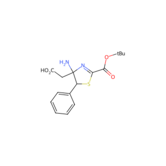 CC(C)(C)OC(=O)C1=NC(N)(CC(=O)O)C(c2ccccc2)S1